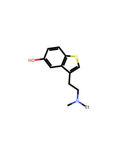 CCN(C)CCc1csc2ccc(O)cc12